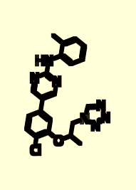 Cc1ccccc1Nc1ncc(-c2ccc(Cl)c(OC(C)Cn3cnnn3)c2)cn1